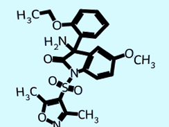 CCOc1ccccc1C1(N)C(=O)N(S(=O)(=O)c2c(C)noc2C)c2ccc(OC)cc21